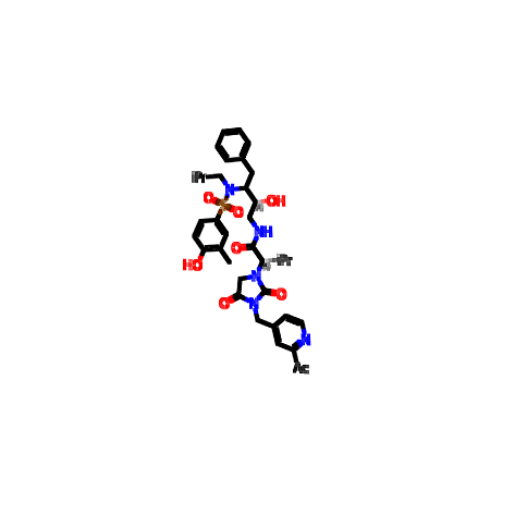 CC(=O)c1cc(CN2C(=O)CN([C@H](C(=O)NC[C@@H](O)C(Cc3ccccc3)N(CC(C)C)S(=O)(=O)c3ccc(O)c(C)c3)C(C)C)C2=O)ccn1